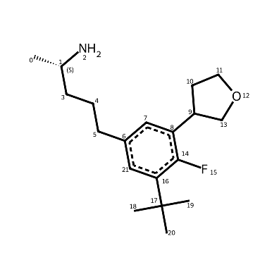 C[C@H](N)CCCc1cc(C2CCOC2)c(F)c(C(C)(C)C)c1